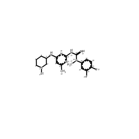 CCN1CCCC(Nc2cc(C)nc(NC(=N)N(C)c3ccc(F)c(F)c3)n2)C1